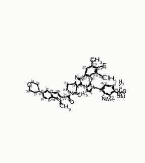 CNc1cc(-n2ccn(-c3c4c(nn3-c3cc(C)c(F)c(C)c3)CCN(C(=O)c3cc5cc(C6CCOCC6)ccc5n3C)[C@H]4C)c2=O)ccc1P(C)(=O)C(C)(C)C